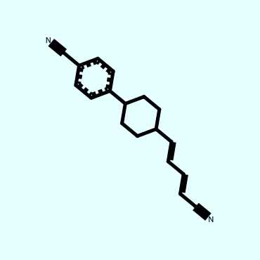 N#CC=CC=CC1CCC(c2ccc(C#N)cc2)CC1